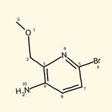 COCc1nc(Br)ccc1N